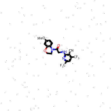 COc1ccc2c(c1)OCCN2C(=O)CNc1nc(C(F)(F)F)cc(C(F)(F)F)c1C#N